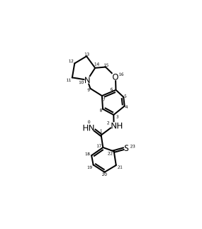 N=C(Nc1ccc2c(c1)CN1CCCC1CO2)C1=CC=CCC1=S